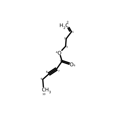 C=CCCOC(=O)C#CCC